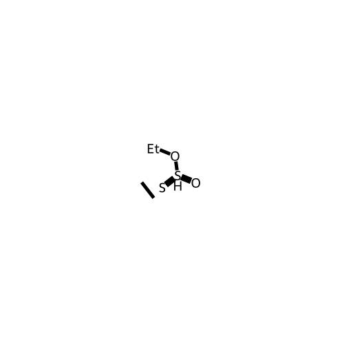 CC.CCO[SH](=O)=S